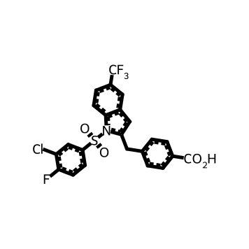 O=C(O)c1ccc(Cc2cc3cc(C(F)(F)F)ccc3n2S(=O)(=O)c2ccc(F)c(Cl)c2)cc1